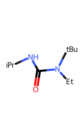 CCN(C(=O)NC(C)C)C(C)(C)C